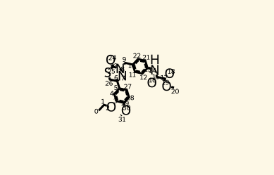 CCOc1cc(C2=NN(Cc3ccc(NC(=O)C(=O)OC)cc3)C(=O)SC2)ccc1OC